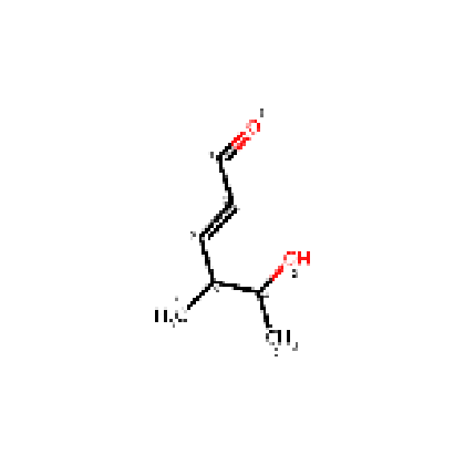 CC(O)C(C)/C=C/C=O